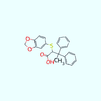 CC(c1ccccc1)(c1ccccc1)C(Sc1ccc2c(c1)OCO2)C(=O)O